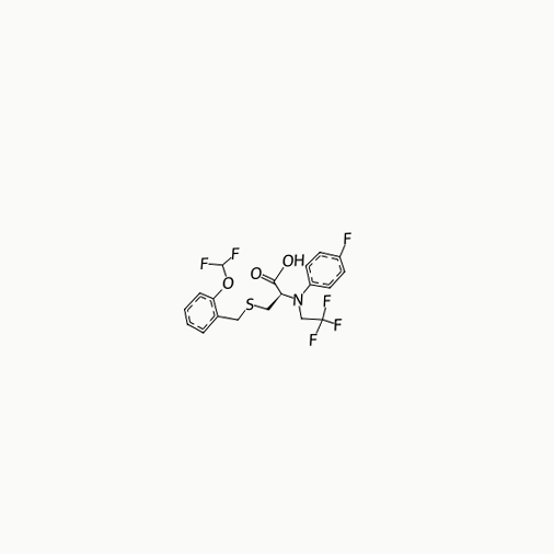 O=C(O)[C@H](CSCc1ccccc1OC(F)F)N(CC(F)(F)F)c1ccc(F)cc1